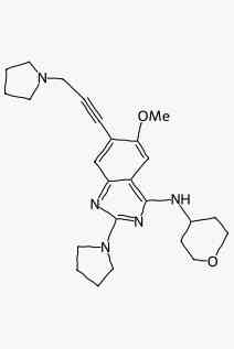 COc1cc2c(NC3CCOCC3)nc(N3CCCC3)nc2cc1C#CCN1CCCC1